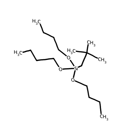 CCCCO[Si](CC(C)(C)C)(OCCCC)OCCCC